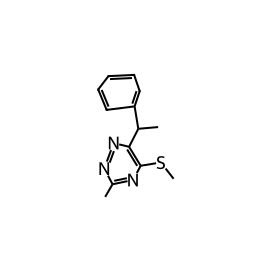 CSc1nc(C)nnc1C(C)c1ccccc1